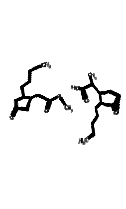 CCCCC1CC(=O)CC1CC(=O)OC.CCCCCC1C(=O)CCC1C(C)C(=O)O